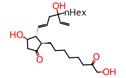 C=CC(O)(C/C=C/[C@H]1[C@H](O)CC(=O)[C@@H]1CCCCCCC(=O)CO)CCCCCC